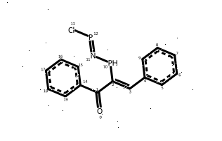 O=C(C(=Cc1ccccc1)PN=PCl)c1ccccc1